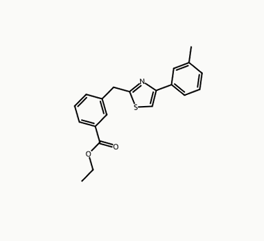 CCOC(=O)c1cccc(Cc2nc(-c3cccc(C)c3)cs2)c1